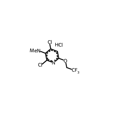 CNc1c(Cl)cc(OCC(F)(F)F)nc1Cl.Cl